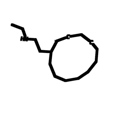 CCNCCC1[CH]CCCCCCCCCC1